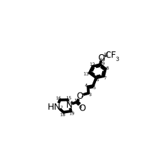 O=C(OC/C=C/c1ccc(OC(F)(F)F)cc1)N1CCNCC1